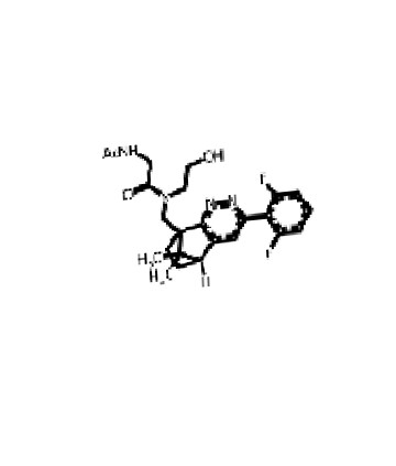 CC(=O)NCC(=O)N(CCO)CC12CC[C@@H](c3cc(-c4c(F)cccc4F)nnc31)C2(C)C